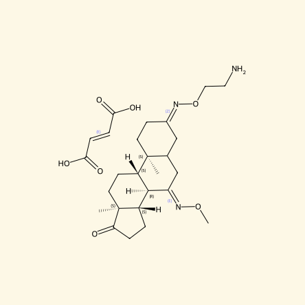 CO/N=C1\CC2C/C(=N\OCCN)CC[C@]2(C)[C@H]2CC[C@]3(C)C(=O)CC[C@H]3[C@H]12.O=C(O)/C=C/C(=O)O